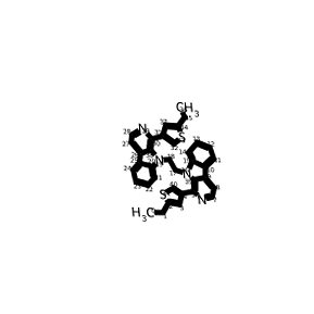 CCc1cc(-c2nccc3c4ccccc4n(CCn4c5ccccc5c5ccnc(-c6csc(CC)c6)c54)c23)cs1